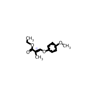 CCOC(=O)/C(C)=C/Oc1ccc(OC)cc1